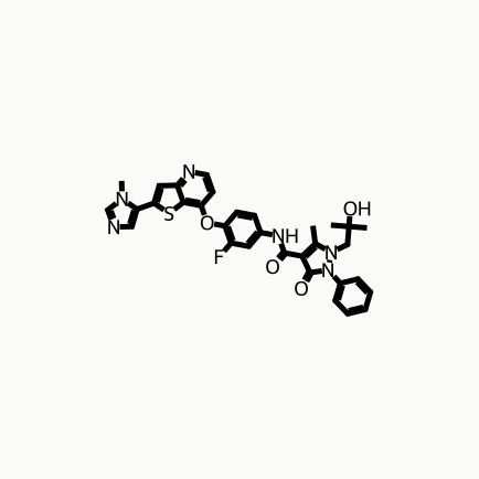 Cc1c(C(=O)Nc2ccc(Oc3ccnc4cc(-c5cncn5C)sc34)c(F)c2)c(=O)n(-c2ccccc2)n1CC(C)(C)O